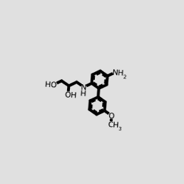 COc1cccc(-c2cc(N)ccc2NCC(O)CO)c1